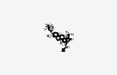 CC(C)C1=C2[C@H]3CCC4[C@@]5(C)CC[C@H](OC(=O)CC(C)(C)C(=O)O)C(C)(C)C5CC[C@@]4(C)[C@]3(C)CC[C@@]2(CCNC2CCC2)CC1=O